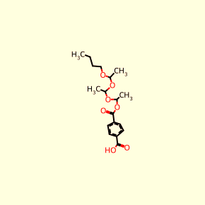 CCCCOC(C)OC(C)OC(C)OC(=O)c1ccc(C(=O)O)cc1